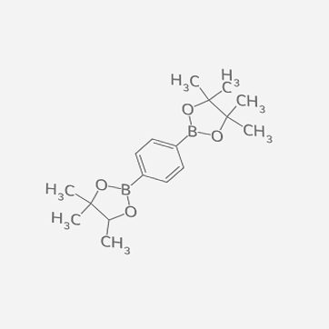 CC1OB(c2ccc(B3OC(C)(C)C(C)(C)O3)cc2)OC1(C)C